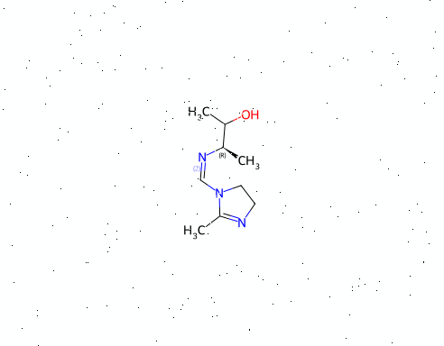 CC1=NCCN1/C=N\[C@H](C)C(C)O